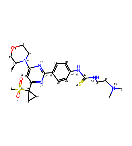 C[C@H]1COCCN1c1cc(C2(S(C)(=O)=O)CC2)nc(-c2ccc(NC(=S)NCCN(C)C)cc2)n1